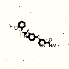 CCOc1ccccc1Nc1nc2ccc(Oc3ccnc(C(=O)NC)c3)cc2s1